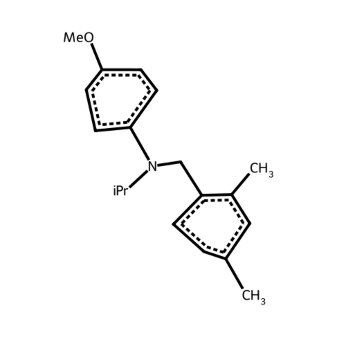 COc1ccc(N(Cc2ccc(C)cc2C)C(C)C)cc1